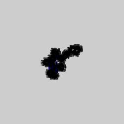 CC1CC(C)(C)C2=C(C=CCC(c3ccc(-c4cccc(-n5c6ccccc6c6cc7c8ccccc8n(-c8nc(-c9ccccc9)nc(-c9cccc%10ccccc9%10)n8)c7cc65)c4)cc3)C2)C1(C)C